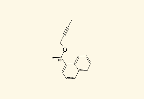 CC#CCO[C@H](C)c1cccc2ccccc12